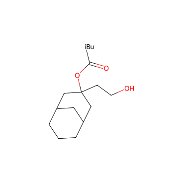 CCC(C)C(=O)OC1(CCO)CC2CCCC(C2)C1